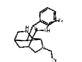 CC(C)CNC(=O)C12NCC3CC1CN(CC(C)C)C2C3Cc1ccccc1